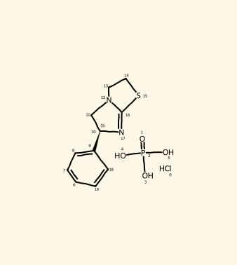 Cl.O=P(O)(O)O.c1ccc([C@H]2CN3CCSC3=N2)cc1